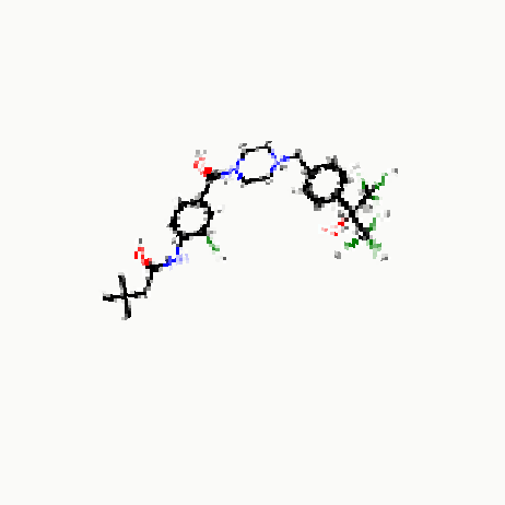 CC(C)(C)CC(=O)Nc1ccc(C(=O)N2CCN(Cc3ccc(C(O)(C(F)(F)F)C(F)(F)F)cc3)CC2)cc1F